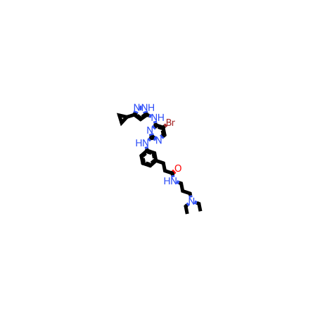 CCN(CC)CCCNC(=O)CCc1cccc(Nc2ncc(Br)c(Nc3cc(C4CC4)n[nH]3)n2)c1